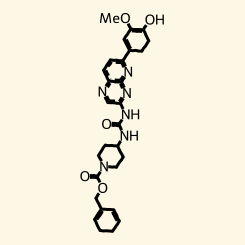 COC1=C(O)CCC(c2ccc3ncc(NC(=O)NC4CCN(C(=O)OCC5=CCCC=C5)CC4)nc3n2)=C1